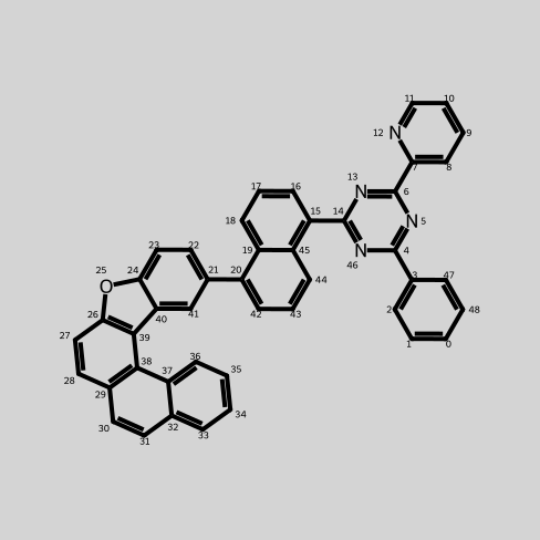 c1ccc(-c2nc(-c3ccccn3)nc(-c3cccc4c(-c5ccc6oc7ccc8ccc9ccccc9c8c7c6c5)cccc34)n2)cc1